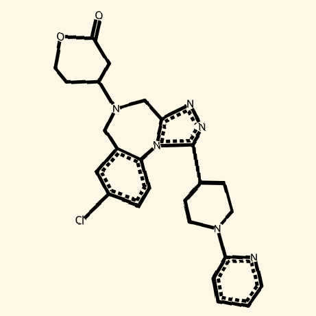 O=C1CC(N2Cc3cc(Cl)ccc3-n3c(nnc3C3CCN(c4ccccn4)CC3)C2)CCO1